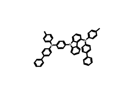 Cc1ccc(N(c2ccc(-c3ccccc3)cc2)c2ccc(-n3c4ccccc4c4c(N(c5ccc(C)cc5)c5ccc(-c6ccccc6)cc5)cccc43)cc2)cc1